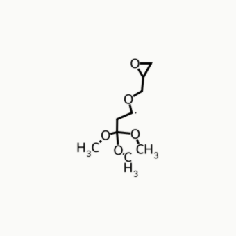 COC(C[CH]OCC1CO1)(OC)OC